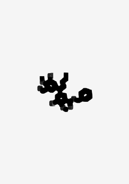 CCC/C=C(\c1cc(Cl)c(OC)c(C=O)c1)c1cc(Cl)c(OC)c(C(=O)OCc2ccccc2)c1